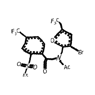 CCS(=O)(=O)c1cc(C(F)(F)F)ccc1C(=O)N(C(C)=O)c1oc(C(F)(F)F)cc1Br